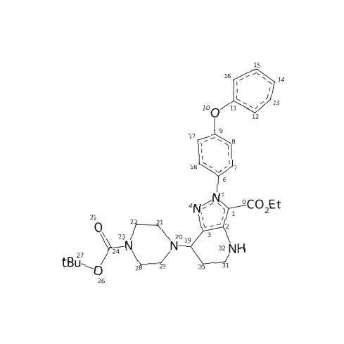 CCOC(=O)c1c2c(nn1-c1ccc(Oc3ccccc3)cc1)C(N1CCN(C(=O)OC(C)(C)C)CC1)CCN2